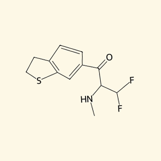 CNC(C(=O)c1ccc2c(c1)SCC2)C(F)F